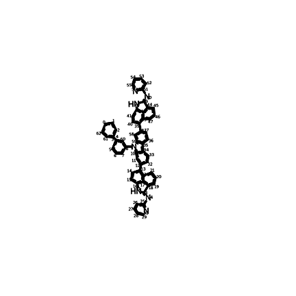 c1ccc(-c2cccc(-n3c4cc(-c5ccc6c7c(cccc57)/C(=N/c5ccccn5)N6)ccc4c4ccc(-c5ccc6c7c(cccc57)/C(=N/c5ccccn5)N6)cc43)c2)cc1